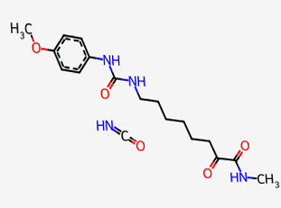 CNC(=O)C(=O)CCCCCCNC(=O)Nc1ccc(OC)cc1.N=C=O